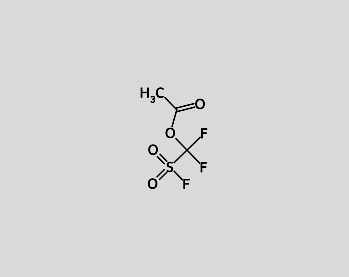 CC(=O)OC(F)(F)S(=O)(=O)F